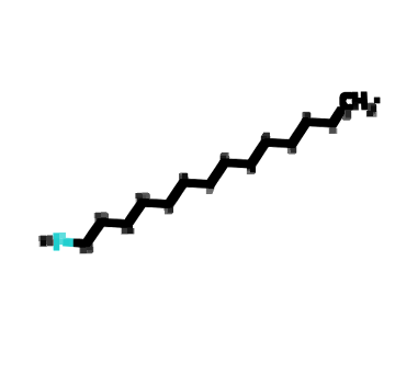 [CH2]CCCCCCCCCCCCCF